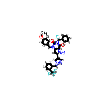 COc1ccc(Cn2c(=O)n(C(F)c3ccccc3)c(=O)c3[nH]c(-c4cnn(Cc5ccccc5C(F)(F)F)c4)cc32)cc1